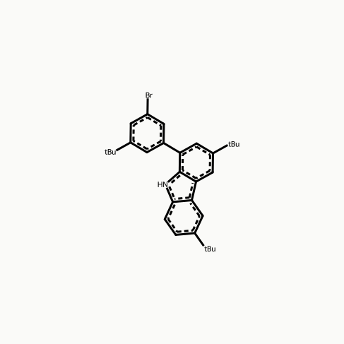 CC(C)(C)c1cc(Br)cc(-c2cc(C(C)(C)C)cc3c2[nH]c2ccc(C(C)(C)C)cc23)c1